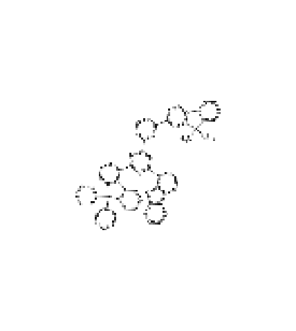 CC1(C)c2ccccc2-c2ccc(-c3cccc(-c4nc(-c5cccc6c5-c5ccccc5C6(c5ccccc5)c5ccccc5)nc(-c5cccc6c5sc5ccccc56)n4)c3)cc21